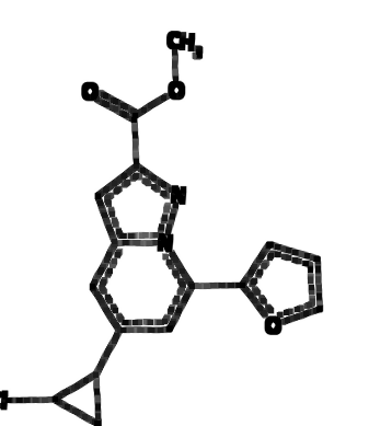 COC(=O)c1cc2cc(C3CC3Cl)cc(-c3ccco3)n2n1